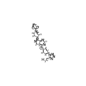 Cc1nnnn1-c1ccc(Oc2ncnc3c2cnn3C2CCN(C(=O)OC(C)C)CC2)cc1